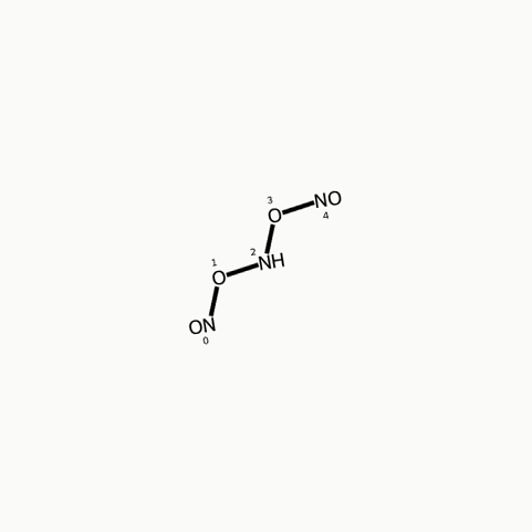 O=NONON=O